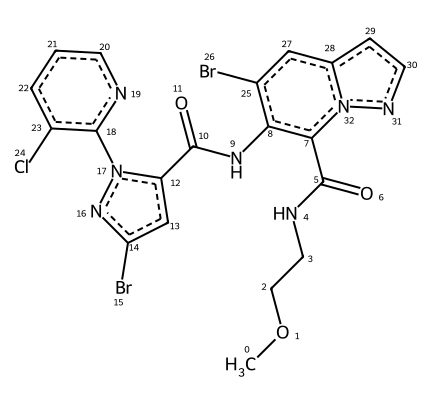 COCCNC(=O)c1c(NC(=O)c2cc(Br)nn2-c2ncccc2Cl)c(Br)cc2ccnn12